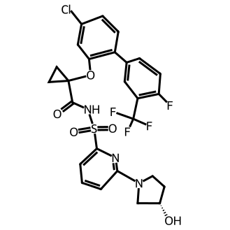 O=C(NS(=O)(=O)c1cccc(N2CC[C@H](O)C2)n1)C1(Oc2cc(Cl)ccc2-c2ccc(F)c(C(F)(F)F)c2)CC1